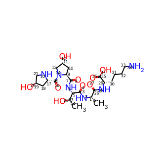 C[C@H](NC(=O)[C@@H](NC(=O)[C@@H]1C[C@@H](O)CN1C(=O)[C@@H]1C[C@@H](O)CN1)[C@@H](C)O)C(=O)N[C@@H](CCCCN)C(=O)O